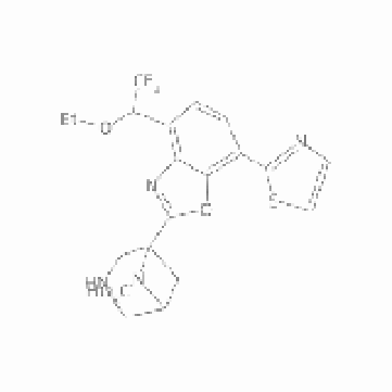 CCOC(c1ccc(-c2nccs2)c2oc(C34CNCC(C3)N4C(=O)O)nc12)C(F)(F)F